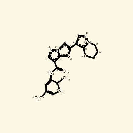 CC1NC=C(C(=O)O)C=C1NC(=O)c1cnn2cc(-c3cnn4c3OCCC4)sc12